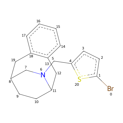 Brc1ccc(CN2CC3CCC2Cc2ccccc2C3)s1